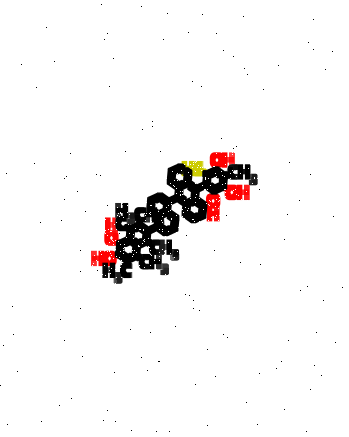 Cc1c(O)c(O)c(-c2c3ccccc3c(-c3cccc4c(-c5c(C)c(C)c6c(O)c(O)c(C)c(C)c6c5C)cccc34)c3ccccc23)c(S)c1O